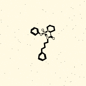 O=C(OCCCCc1ccccc1)[C@@H]1CCCCN1S(=O)(=O)Oc1ccccc1